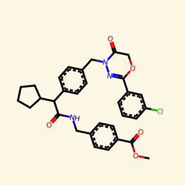 COC(=O)c1ccc(CNC(=O)C(c2ccc(CN3N=C(c4cccc(Cl)c4)OCC3=O)cc2)C2CCCC2)cc1